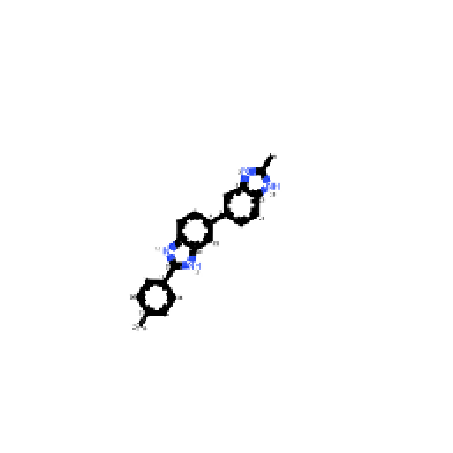 Cc1nc2cc(-c3ccc4nc(-c5ccc(C(C)C)cc5)[nH]c4c3)ccc2[nH]1